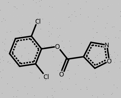 O=C(Oc1c(Cl)cccc1Cl)c1cnoc1